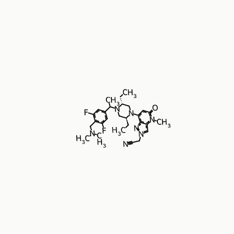 CC[C@H]1CN(C(C)c2cc(F)c(CN(C)C)c(F)c2)[C@H](CC)CN1c1cc(=O)n(C)c2cn(CC#N)nc12